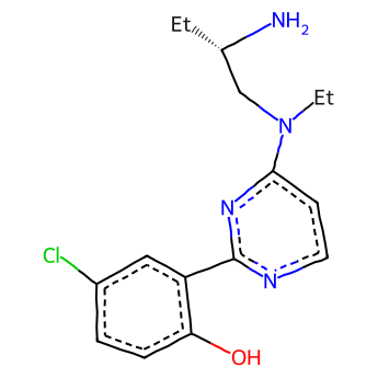 CC[C@H](N)CN(CC)c1ccnc(-c2cc(Cl)ccc2O)n1